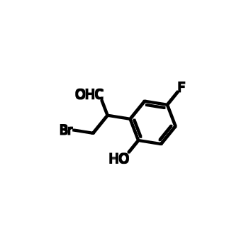 O=CC(CBr)c1cc(F)ccc1O